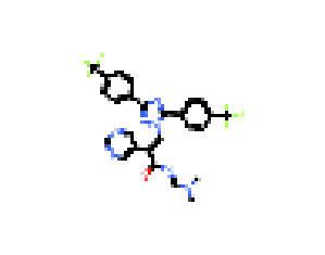 CN(C)/C=N/C(=O)/C(=C/n1nc(-c2ccc(C(F)(F)F)cc2)nc1-c1ccc(C(F)(F)F)cc1)c1cncnc1